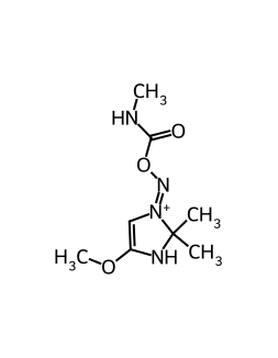 CNC(=O)ON=[N+]1C=C(OC)NC1(C)C